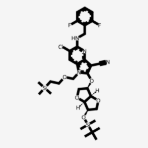 CC(C)(C)[Si](C)(C)O[C@@H]1CO[C@H]2[C@@H]1OC[C@H]2Oc1c(C#N)c2nc(NCc3c(F)cccc3F)c(Cl)cc2n1COCC[Si](C)(C)C